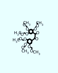 COCOc1cc(OCOC)c(C(=O)C2OC2c2cc(OCOC)c(OCOC)c(OCOC)c2)cc1OCOC